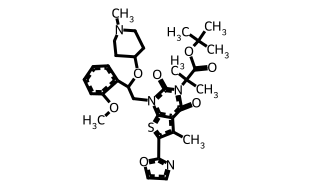 COc1ccccc1C(Cn1c(=O)n(C(C)(C)C(=O)OC(C)(C)C)c(=O)c2c(C)c(-c3ncco3)sc21)OC1CCN(C)CC1